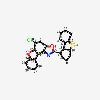 Clc1cc2oc(-c3cccc4sc5ccccc5c34)nc2c2c1oc1ccccc12